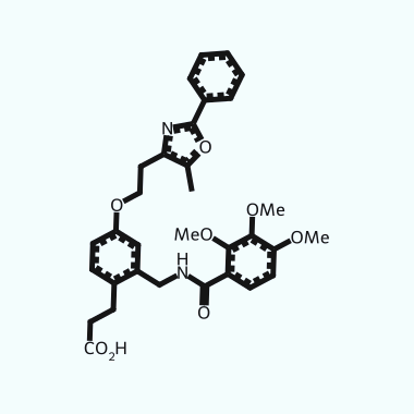 COc1ccc(C(=O)NCc2cc(OCCc3nc(-c4ccccc4)oc3C)ccc2CCC(=O)O)c(OC)c1OC